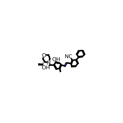 C=C(O)[C@@H]1COCCN1Cc1cc(C)c(/C=C/c2cccc(-c3ccccc3)c2C#N)cc1O